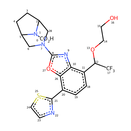 O=C(O)N1C2CCC1CN(c1nc3c(C(OCCO)C(F)(F)F)ccc(-c4nccs4)c3o1)C2